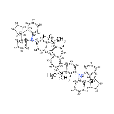 C[Si]1(C)c2cc(N3c4ccccc4[Si]4(CCCC4)c4ccccc43)ccc2-c2c1ccc1c3c(ccc21)[Si](C)(C)c1cc(N2c4ccccc4[Si]4(CCCC4)c4ccccc42)ccc1-3